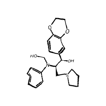 OCN(c1ccccc1)[C@H](CN1CCCC1)[C@H](O)c1ccc2c(c1)OCCO2